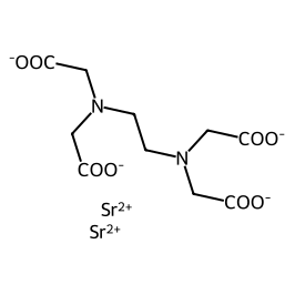 O=C([O-])CN(CCN(CC(=O)[O-])CC(=O)[O-])CC(=O)[O-].[Sr+2].[Sr+2]